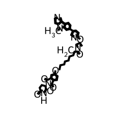 C=C(CCCCCCCOc1ccc2c(c1)C(=O)N(C1CCC(=O)NC1=O)C2=O)C(=O)N1CC(Oc2ccc(-c3ccc4c5cnccc5n(C)c4c3)cn2)C1